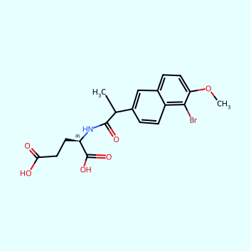 COc1ccc2cc(C(C)C(=O)N[C@H](CCC(=O)O)C(=O)O)ccc2c1Br